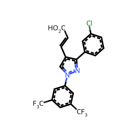 O=C(O)C=Cc1cn(-c2cc(C(F)(F)F)cc(C(F)(F)F)c2)nc1-c1cccc(Cl)c1